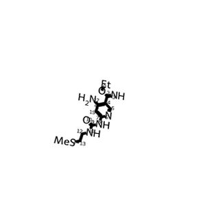 CCOC(=N)c1cnc(NC(=O)NCCSC)cc1N